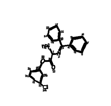 CCCC(N=C(c1ccccc1)c1ccccc1)C(=O)Oc1cccc(Cl)c1